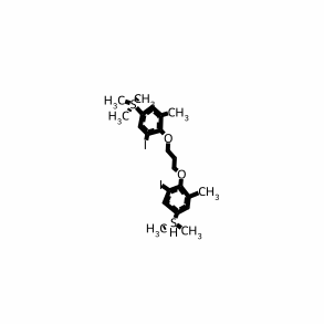 Cc1cc([SH](C)C)cc(I)c1OCCCOc1c(C)cc(S(C)(C)C)cc1I